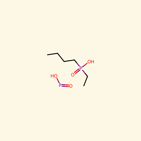 CCCCP(=O)(O)CC.O=PO